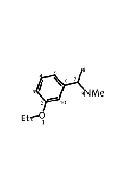 CCOc1cccc(C(C)NC)c1